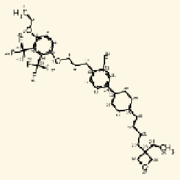 CCOc1ccc(OCCCc2ccc(C3CCC(CCCCC4(CC)COC4)CC3)cc2F)c(C(F)(F)F)c1C(F)(F)F